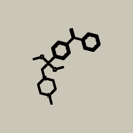 C=C(c1ccccc1)c1ccc([Si](CN2CCN(C)CC2)(OC)OC)cc1